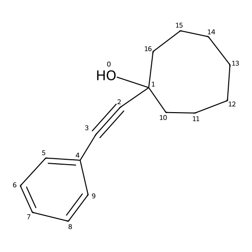 OC1(C#Cc2ccccc2)CCCCCCC1